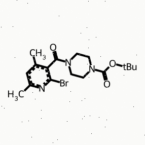 Cc1cc(C)c(C(=O)N2CCN(C(=O)OC(C)(C)C)CC2)c(Br)n1